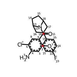 COc1cc(N)c(Cl)cc1C(=O)N1C2CCC1CC(c1ccc(F)cc1)C2